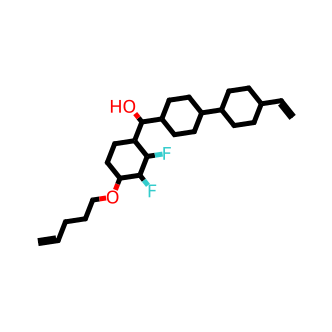 C=CCCCOC1CCC(C(O)C2CCC(C3CCC(C=C)CC3)CC2)C(F)C1F